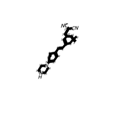 CC1(C)CC(/C=C/c2ccc(N3CCNCC3)cc2)=CC(C=C(C#N)C#N)C1